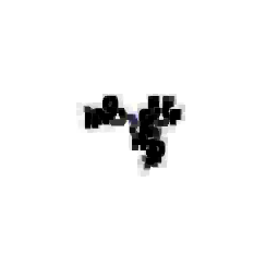 COc1cc(/C=C2\CC[C@H]3C[C@@H](O[Si](C)(C)C(C)(C)C)C[C@@H](c4cc(F)c(F)c(F)c4)N3C2=O)ccc1-n1cnc(C)c1